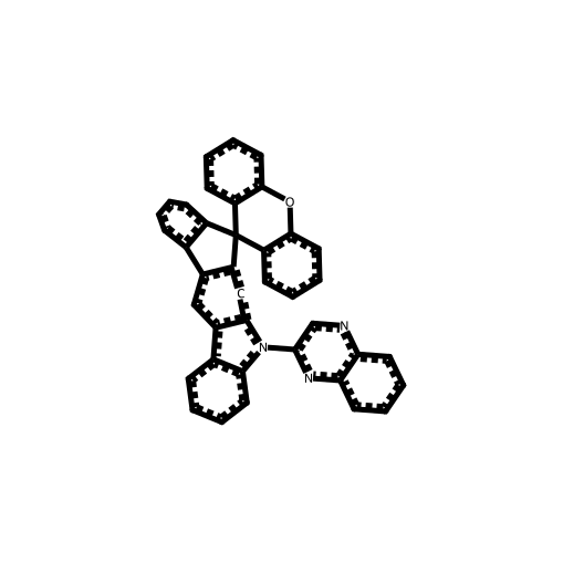 c1ccc2c(c1)Oc1ccccc1C21c2ccccc2-c2cc3c4ccccc4n(-c4cnc5ccccc5n4)c3cc21